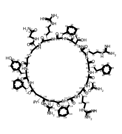 CC(C)[C@@H]1CC(=O)[C@H](Cc2ccccc2)NC(=O)[C@@H](Cc2ccc(O)cc2)NC(=O)CSC[C@@H](C(=O)NCC(N)=O)NC(=O)[C@H](CCCNC(=N)N)NC(=O)[C@H](Cc2ccccc2)NC(=O)[C@H]([C@@H](C)O)NC(=O)[C@H](CCCNC(=N)N)NC(=O)[C@H](CCc2ccccc2)NC(=O)[C@H](CC(N)=O)NC(=O)[C@H](CCCNC(=N)N)NC(=O)[C@H](Cc2ccccc2)NC(=O)[C@H](CC(N)=O)NC1=O